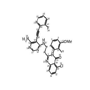 COc1cccc(-n2c(CCNc3ncnc(N)c3C#Cc3ncccc3F)nc3cccc(Cl)c3c2=O)c1C